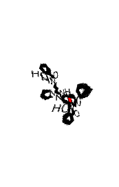 O=C(NCCCC(c1nc2cc(C3(O)c4ccccc4C(=O)N3c3cccc(Oc4ccccc4)c3)ccc2[nH]1)N1CCCCC1)c1ccccc1O